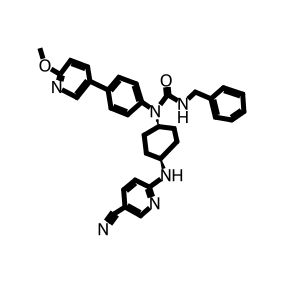 COc1ccc(-c2ccc(N(C(=O)NCc3ccccc3)[C@H]3CC[C@H](Nc4ccc(C#N)cn4)CC3)cc2)cn1